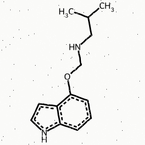 CC(C)CNCOc1cccc2[nH]ccc12